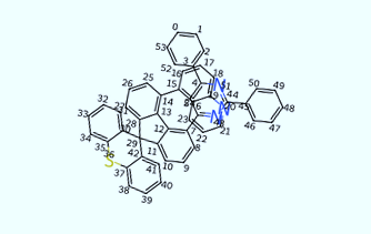 c1ccc(-c2cc(-c3cccc4c3-c3c(-c5cccc6ncccc56)cccc3C43c4ccccc4Sc4ccccc43)nc(-c3ccccc3)n2)cc1